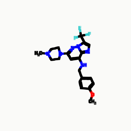 COc1ccc(CNc2cc(N3CCN(C)CC3)nn3c(C(F)(F)F)cnc23)cc1